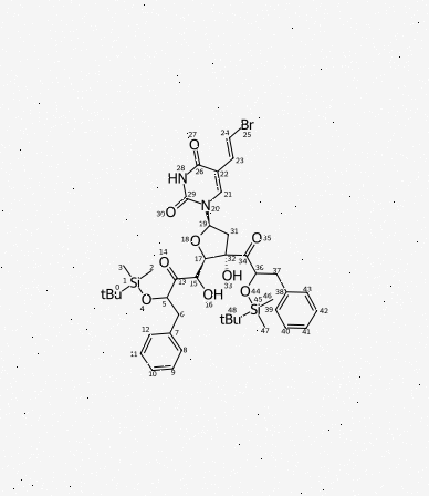 CC(C)(C)[Si](C)(C)OC(Cc1ccccc1)C(=O)C(O)[C@H]1O[C@@H](n2cc(/C=C/Br)c(=O)[nH]c2=O)C[C@@]1(O)C(=O)C(Cc1ccccc1)O[Si](C)(C)C(C)(C)C